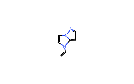 [CH]=Cn1ccn2nccc12